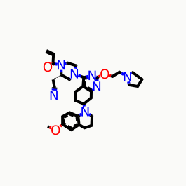 C=CC(=O)N1CCN(c2nc(OCCN3CCCC3)nc3c2CCC(N2CCCc4cc(OC)ccc42)C3)C[C@@H]1CC#N